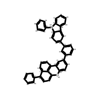 c1ccc(-c2ccc3c4c(cccc24)-c2cc(-c4cccc(-c5ccc6c(c5)c5ccccc5n6-c5ccccc5)c4)ccc2O3)cc1